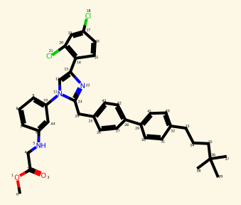 COC(=O)CNc1cccc(-n2cc(-c3ccc(Cl)cc3Cl)nc2Cc2ccc(-c3ccc(CCCC(C)(C)C)cc3)cc2)c1